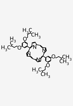 CC(C)CCOc1cc(OCCC(C)C)cc(C2=C3C=CC(=N3)C=C3C=CC(=N3)C(c3cc(OCCC(C)C)cc(OCCC(C)C)c3)=C3C=CC(=N3)C=C3C=CC2=N3)c1